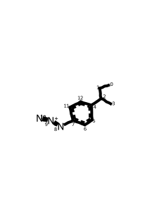 CCC(C)c1ccc(N=[N+]=[N-])cc1